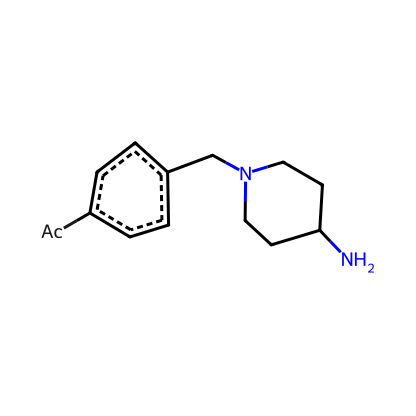 CC(=O)c1ccc(CN2CCC(N)CC2)cc1